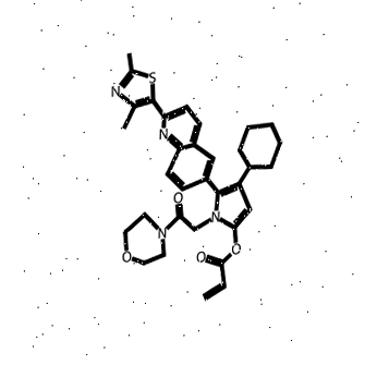 C=CC(=O)Oc1cc(C2CCCCC2)c(-c2ccc3nc(-c4sc(C)nc4C)ccc3c2)n1CC(=O)N1CCOCC1